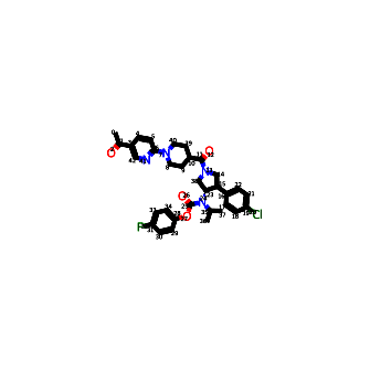 CC(=O)c1ccc(N2CCC(C(=O)N3CC(c4ccc(Cl)cc4)[C@H](N(C(=O)Oc4ccc(F)cc4)C(C)C)C3)CC2)nc1